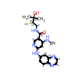 CC(C)Nc1cc(Nc2ccc3nccnc3c2)ncc1C(=O)NC[C@@H](F)C(C)(C)O